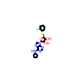 O[C@@H]1[C@@H](CSc2ccccc2F)OC(n2cnc3c(NC4CCCC4)ncnc32)[C@@H]1O